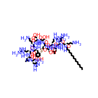 CCCCCCCCCCCCCCCC(=O)N[C@@H](CCCCN)C(=O)N[C@@H](CCCCN)C(=O)N[C@@H](CC(C)C)C(=O)N[C@@H](CCCNC(=N)N)C(=O)N[C@@H](CO)C(=O)N[C@@H](CCSC)C(=O)N[C@H](C(=O)N[C@@H](CC(=O)O)C(=O)N[C@@H](CCCCN)C(=O)N[C@@H](Cc1ccc(O)cc1)C(=O)N[C@@H](CCCNC(=N)N)C(=O)N[C@@H](CC(C)C)C(=O)N[C@@H](Cc1cnc[nH]1)C(N)=O)[C@@H](C)O